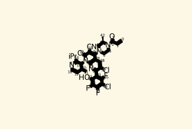 C=CC(=O)N1CCN(c2c(C#N)c(=O)n(C3C(C(C)C)=NC=CC3C)c3nc(-c4c(O)c(F)c(F)c(Cl)c4F)c(Cl)cc23)C[C@H]1C